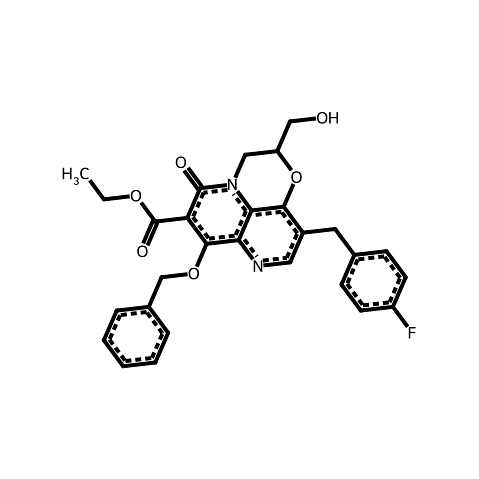 CCOC(=O)c1c(OCc2ccccc2)c2ncc(Cc3ccc(F)cc3)c3c2n(c1=O)CC(CO)O3